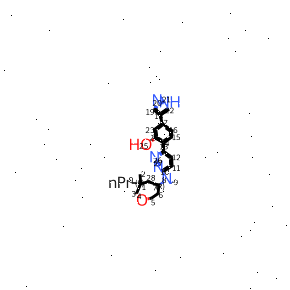 CCC[C@]1(C)COCC[C@H](N(C)c2ccc(-c3ccc(-c4cn[nH]c4)cc3O)nn2)C1